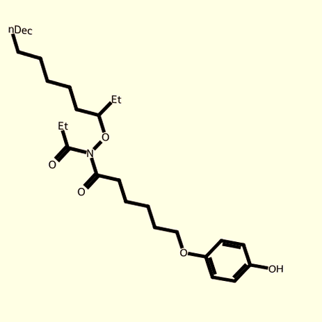 CCCCCCCCCCCCCCCC(CC)ON(C(=O)CC)C(=O)CCCCCOc1ccc(O)cc1